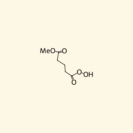 COC(=O)CCCC(=O)OO